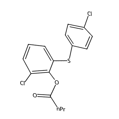 CCCC(=O)Oc1c(Cl)cccc1Sc1ccc(Cl)cc1